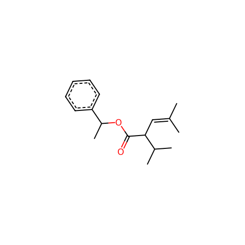 CC(C)=CC(C(=O)OC(C)c1ccccc1)C(C)C